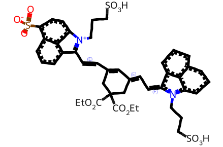 CCOC(=O)C1(C(=O)OCC)CC(/C=C/C2=[N+](CCCS(=O)(=O)O)c3ccc(S(=O)(=O)[O-])c4cccc2c34)=CC(=C/C=c2\c3cccc4cccc(c43)n2CCCS(=O)(=O)O)/C1